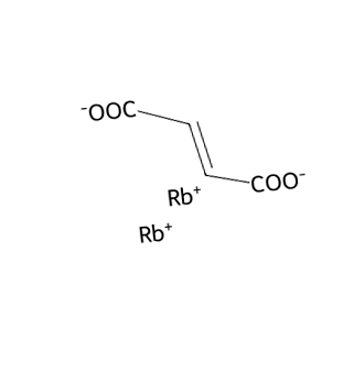 O=C([O-])/C=C/C(=O)[O-].[Rb+].[Rb+]